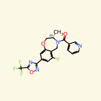 C[C@H]1COc2cc(-c3noc(C(F)(F)F)n3)cc(F)c2CN1C(=O)c1cccnc1